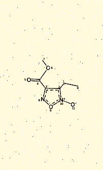 CCc1c(C(=O)OC)no[n+]1[O-]